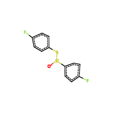 [O-][S+](Sc1ccc(F)cc1)c1ccc(F)cc1